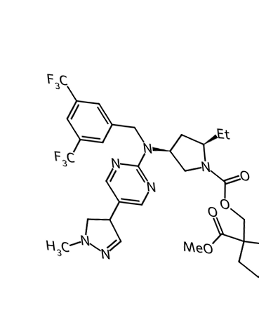 CC[C@@H]1C[C@H](N(Cc2cc(C(F)(F)F)cc(C(F)(F)F)c2)c2ncc(C3C=NN(C)C3)cn2)CN1C(=O)OCC1(C(=O)OC)CCCC1